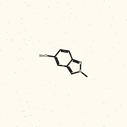 COc1ccc2nn(C)cc2c1